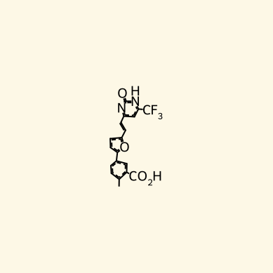 Cc1ccc(-c2ccc(/C=C/c3cc(C(F)(F)F)[nH]c(=O)n3)o2)cc1C(=O)O